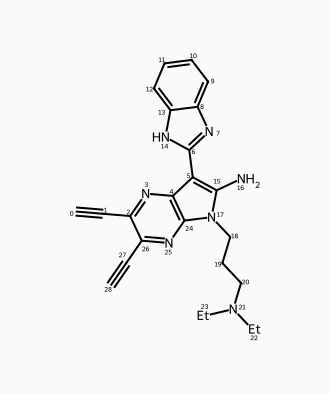 C#Cc1nc2c(-c3nc4ccccc4[nH]3)c(N)n(CCCN(CC)CC)c2nc1C#C